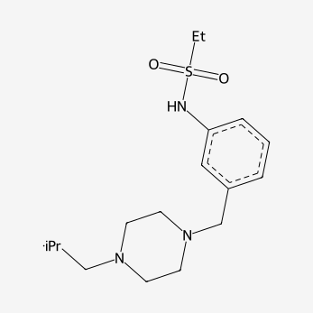 CCS(=O)(=O)Nc1cccc(CN2CCN(C[C](C)C)CC2)c1